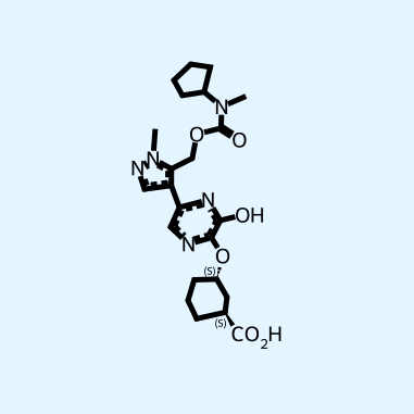 CN(C(=O)OCc1c(-c2cnc(O[C@H]3CCC[C@H](C(=O)O)C3)c(O)n2)cnn1C)C1CCCC1